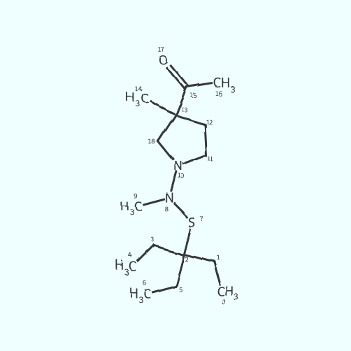 CCC(CC)(CC)SN(C)N1CCC(C)(C(C)=O)C1